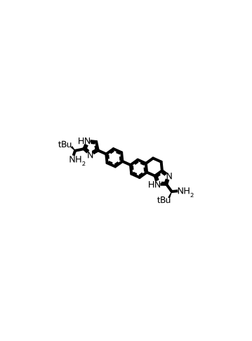 CC(C)(C)[C@H](N)c1nc(-c2ccc(-c3ccc4c(c3)CCc3nc([C@@H](N)C(C)(C)C)[nH]c3-4)cc2)c[nH]1